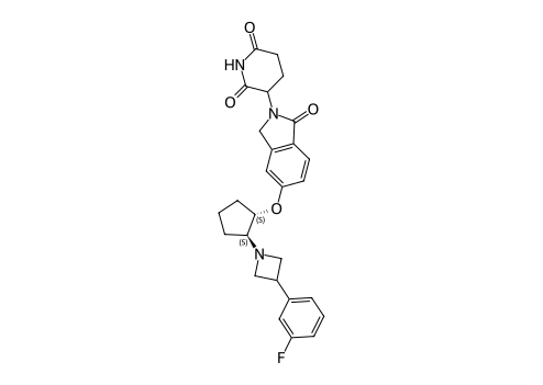 O=C1CCC(N2Cc3cc(O[C@H]4CCC[C@@H]4N4CC(c5cccc(F)c5)C4)ccc3C2=O)C(=O)N1